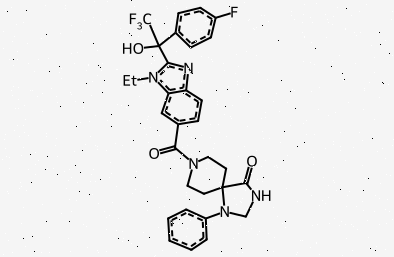 CCn1c(C(O)(c2ccc(F)cc2)C(F)(F)F)nc2ccc(C(=O)N3CCC4(CC3)C(=O)NCN4c3ccccc3)cc21